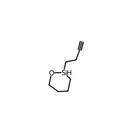 C#CCC[SiH]1CCCCO1